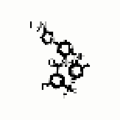 Cc1ccccc1Nc1ncc(N2CCC(N)C2)cc1NC(=O)c1cc(F)cc(C(F)(F)F)c1